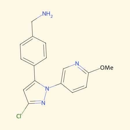 COc1ccc(-n2nc(Cl)cc2-c2ccc(CN)cc2)cn1